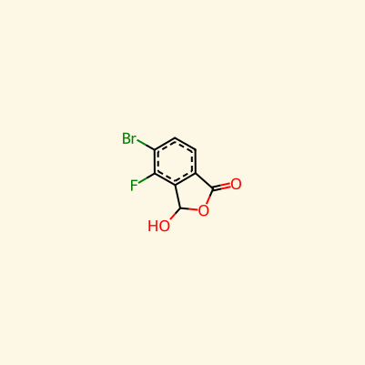 O=C1OC(O)c2c1ccc(Br)c2F